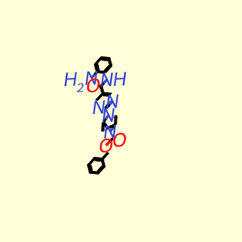 Nc1ccccc1NC(=O)c1cnc(N2CC3CC2CN3C(=O)OCc2ccccc2)nc1